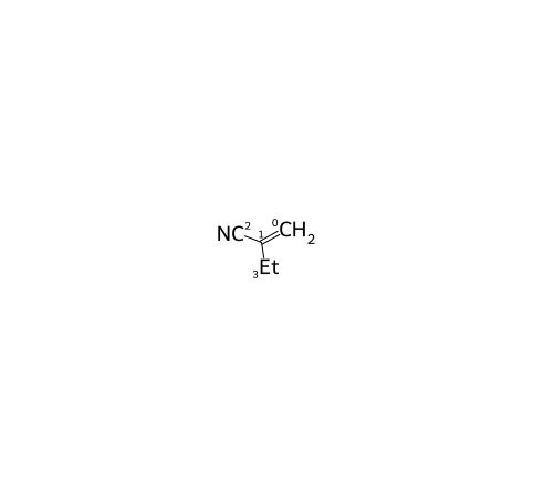 C=C(C#N)CC